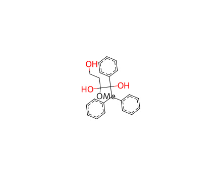 COC(O)(CCO)C(O)(c1ccccc1)C(c1ccccc1)c1ccccc1